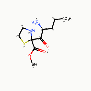 CC(C)(C)OC(=O)C1(C(=O)[C@@H](N)CCC(=O)O)NCCS1